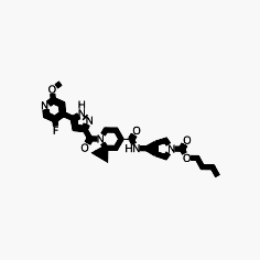 CCCCOC(=O)N1CC2C(C1)C2NC(=O)[C@H]1CCN(C(=O)c2cc(-c3cc(OC)ncc3F)[nH]n2)C2(CC2)C1